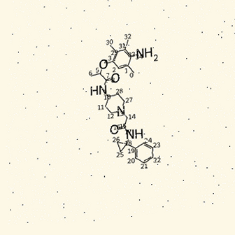 Cc1cc(OC(C)C(=O)NC2CCN(CC(=O)NC3(c4ccccc4)CC3)CC2)c(C)c(C)c1N